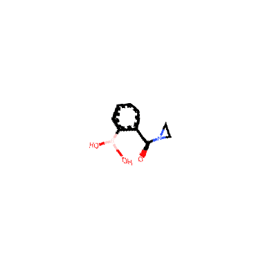 O=C(c1ccccc1B(O)O)N1CC1